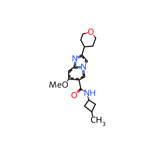 COc1cc2nc(C3CCOCC3)cn2cc1C(=O)NC1CC(C)C1